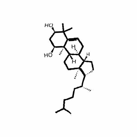 CC(C)CCC[C@@H](C)[C@H]1CC[C@H]2[C@@H]3CC=C4C(C)(C)[C@H](O)C[C@H](O)[C@]4(C)[C@H]3CC[C@]12C